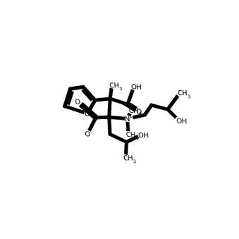 CC(O)CC[N+](C)(C)C(CC(C)O)(C(=O)[O-])C(C)(C(=O)O)c1ccco1